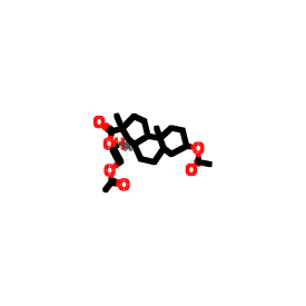 CC(=O)OC=C[C@H]1C2CCC3CC(OC(C)=O)CCC3(C)C2CCC1(C)C(=O)O